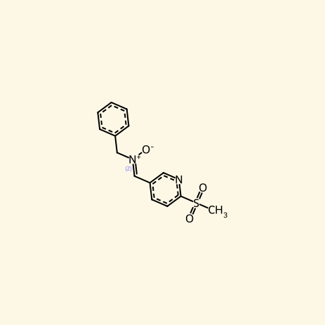 CS(=O)(=O)c1ccc(/C=[N+](\[O-])Cc2ccccc2)cn1